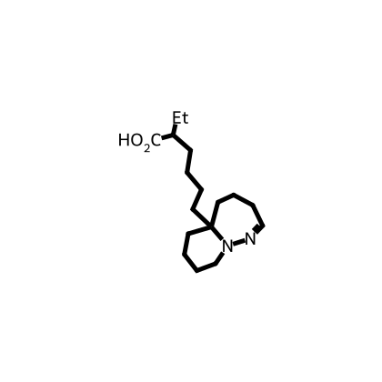 CCC(CCCCC12CCCC=NN1CCCC2)C(=O)O